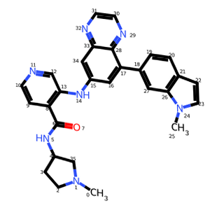 CN1CCC(NC(=O)c2ccncc2Nc2cc(-c3ccc4ccn(C)c4c3)c3nccnc3c2)C1